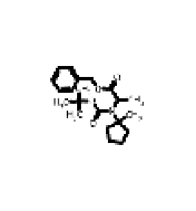 CC(C(=O)OCc1ccccc1)N(C(=O)OC(C)(C)C)C1(C)CCCC1